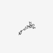 CC(C)C1C(=O)NC2=Nc3ccc(OCCCn4ccnc4)cc3CN21